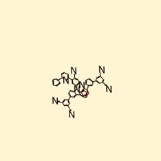 N#Cc1cc(C#N)cc(-c2ccc3c(c2)c2ccccc2n3-c2cc(C#N)c(-c3cccc(-c4ccccc4)n3)cc2-n2c3ccccc3c3cc(-c4cc(C#N)cc(C#N)c4)ccc32)c1